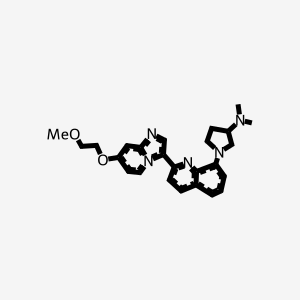 COCCOc1ccn2c(-c3ccc4cccc(N5CCC(N(C)C)C5)c4n3)cnc2c1